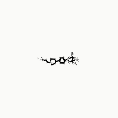 COCCN1CCC(c2ccc(B3OC(C)(C)C(C)(C)O3)cc2)CC1